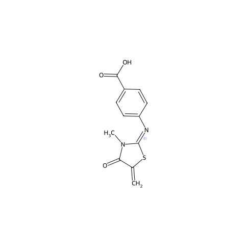 C=C1S/C(=N/c2ccc(C(=O)O)cc2)N(C)C1=O